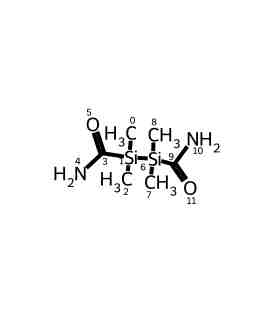 C[Si](C)(C(N)=O)[Si](C)(C)C(N)=O